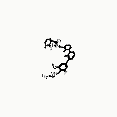 COc1cc(-c2cccc(-c3cccc(NC(=O)c4cccn(C)c4=O)c3C)c2C)cc(F)c1CNCCO